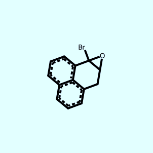 BrC12OC1Cc1cccc3cccc2c13